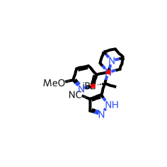 CC[C@@H](C)C(C)(c1[nH]ncc1C#N)N1CC2CC(C1)N2Cc1ccc(OC)nc1